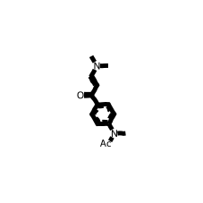 CC(=O)N(C)c1ccc(C(=O)C=CN(C)C)cc1